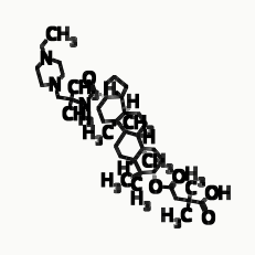 CCN1CCN(CC(C)(C)NC(=O)[C@]23CCC[C@@H]2[C@H]2CC[C@@H]4[C@@]5(C)CC[C@H](OC(=O)CC(C)(C)C(=O)O)C(C)(C)[C@@H]5CC[C@@]4(C)[C@]2(C)CC3)CC1